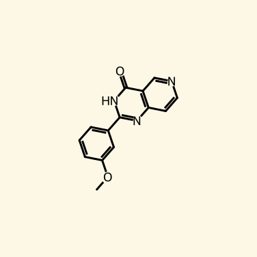 COc1cccc(-c2nc3ccncc3c(=O)[nH]2)c1